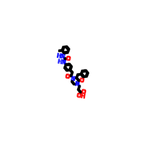 Cc1ccccc1NC(=O)Nc1ccc(CC(=O)N2CCN(CCC(=O)O)C(=O)C2Cc2ccccc2)cc1